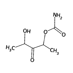 CC(O)C(=O)C(C)OC(N)=O